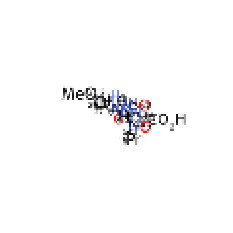 COc1ccc(CNC(=O)N2[C@H]3CN(CCC(C)C)C(=O)[C@H](CC(=O)O)N3C(=O)CN2C)cc1